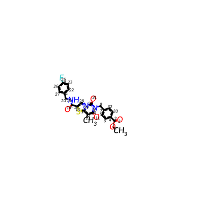 COC(=O)c1ccc(Cn2c(=O)c(C)c3sc(C(=O)NCc4ccc(F)cc4)cn3c2=O)cc1